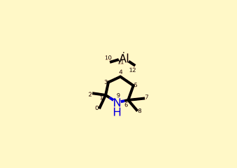 CC1(C)CCCC(C)(C)N1.[CH3][Al][CH3]